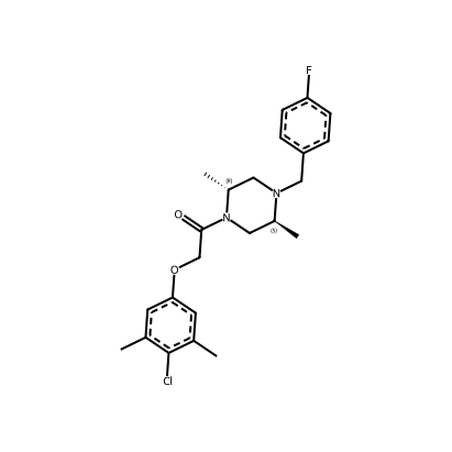 Cc1cc(OCC(=O)N2C[C@H](C)N(Cc3ccc(F)cc3)C[C@H]2C)cc(C)c1Cl